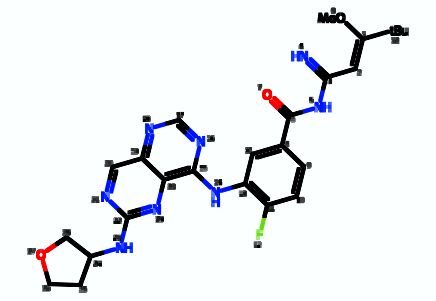 CO/C(=C\C(=N)NC(=O)c1ccc(F)c(Nc2ncnc3cnc(NC4CCOC4)nc23)c1)C(C)(C)C